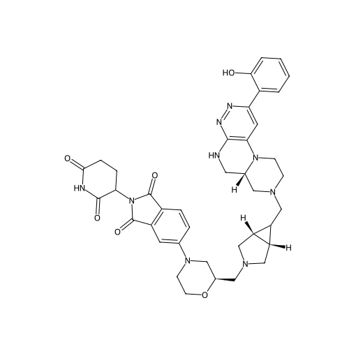 O=C1CCC(N2C(=O)c3ccc(N4CCO[C@H](CN5C[C@@H]6C(CN7CCN8c9cc(-c%10ccccc%10O)nnc9NC[C@H]8C7)[C@@H]6C5)C4)cc3C2=O)C(=O)N1